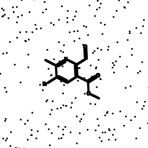 COC(=O)c1cc(Br)c(C)nc1C=O